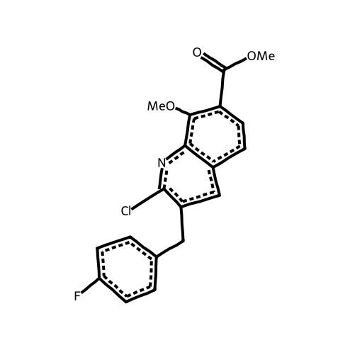 COC(=O)c1ccc2cc(Cc3ccc(F)cc3)c(Cl)nc2c1OC